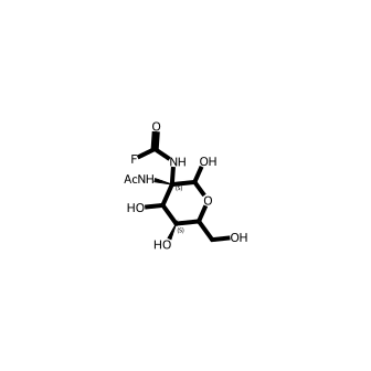 CC(=O)N[C@@]1(NC(=O)F)C(O)OC(CO)[C@@H](O)C1O